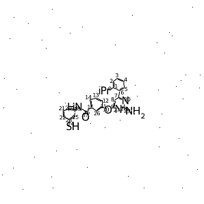 CC(C)c1ccccc1-c1cc(Oc2cccc(C(=O)Nc3cccc(S)c3)c2)nc(N)n1